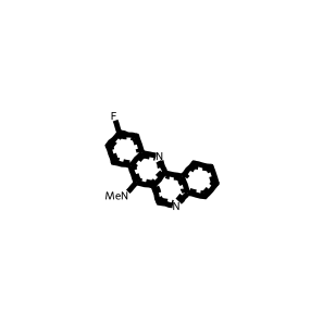 CNc1c2ccc(F)cc2nc2c1cnc1ccccc12